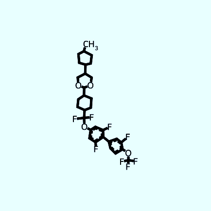 CC1CCC(C2COC(C3CCC(C(F)(F)Oc4cc(F)c(-c5ccc(OC(F)(F)F)c(F)c5)c(F)c4)CC3)OC2)CC1